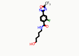 O=C(NCCCCCO)c1ccc(-c2noc(C(F)(F)F)n2)cc1F